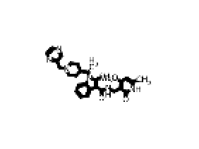 COc1cc(C)[nH]c(=O)c1CNC(=O)c1c(C)n([C@H](C)C2CCN(Cc3cnccn3)CC2)c2ccccc12